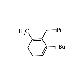 CCCCC1=CC[CH]C(C)=C1CC(C)C